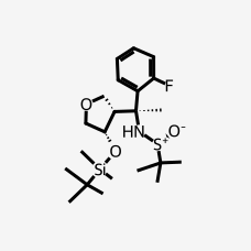 CC(C)(C)[S@+]([O-])N[C@](C)(c1ccccc1F)[C@H]1COC[C@H]1O[Si](C)(C)C(C)(C)C